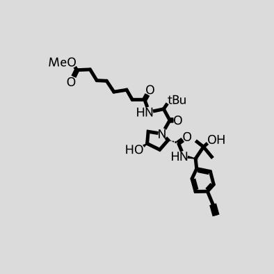 C#Cc1ccc([C@@H](NC(=O)[C@@H]2C[C@@H](O)CN2C(=O)C(NC(=O)CCCCCCC(=O)OC)C(C)(C)C)C(C)(C)O)cc1